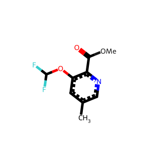 COC(=O)c1ncc(C)cc1OC(F)F